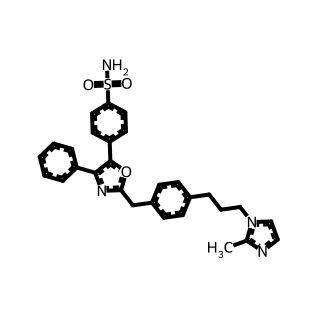 Cc1nccn1CCCc1ccc(Cc2nc(-c3ccccc3)c(-c3ccc(S(N)(=O)=O)cc3)o2)cc1